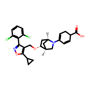 O=C(O)C1C=CC(N2C[C@@H]3C[C@H]2C[C@H]3OCc2c(-c3c(Cl)cccc3Cl)noc2C2CC2)=CC1